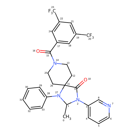 CC1N(c2cccnc2)C(=O)C2(CCN(C(=O)c3cc(C(F)(F)F)cc(C(F)(F)F)c3)CC2)N1c1ccccc1